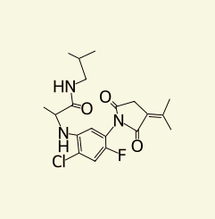 CC(C)=C1CC(=O)N(c2cc(NC(C)C(=O)NCC(C)C)c(Cl)cc2F)C1=O